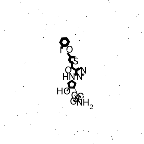 NS(=O)(=O)OC[C@H]1C[C@@H](Nc2ncncc2C(=O)c2cc(COc3ccccc3I)cs2)C[C@@H]1O